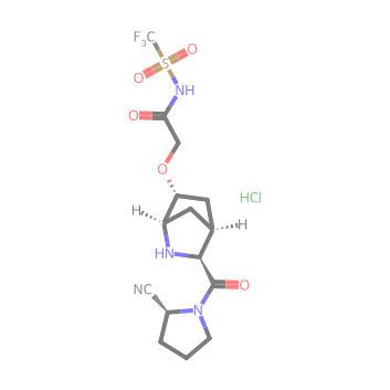 Cl.N#C[C@@H]1CCCN1C(=O)[C@H]1N[C@@H]2C[C@H]1C[C@H]2OCC(=O)NS(=O)(=O)C(F)(F)F